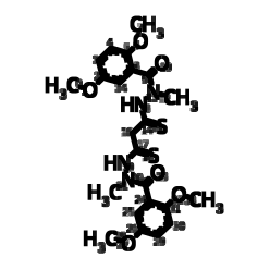 COc1ccc(OC)c(C(=O)N(C)NC(=S)CC(=S)NN(C)C(=O)c2cc(OC)ccc2OC)c1